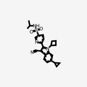 CC(C)NS(=O)(=O)c1ccc(-c2c(C#N)c3ccc(C4CC4)cc3n2C2CCC2)nc1